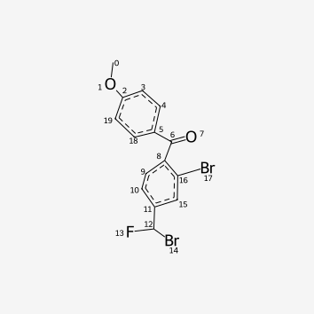 COc1ccc(C(=O)c2ccc(C(F)Br)cc2Br)cc1